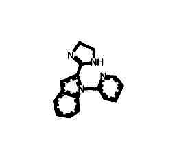 c1ccc(-n2c(C3=NCCN3)cc3ccccc32)nc1